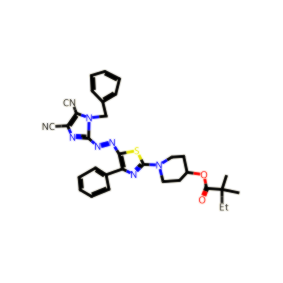 [C-]#[N+]c1c(C#N)nc(/N=N/c2sc(N3CCC(OC(=O)C(C)(C)CC)CC3)nc2-c2ccccc2)n1Cc1ccccc1